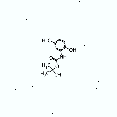 Cc1ccc(O)c(NC(=O)OC(C)(C)C)c1